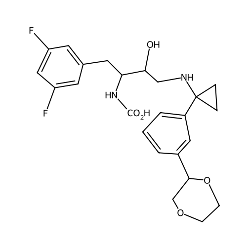 O=C(O)NC(Cc1cc(F)cc(F)c1)C(O)CNC1(c2cccc(C3COCCO3)c2)CC1